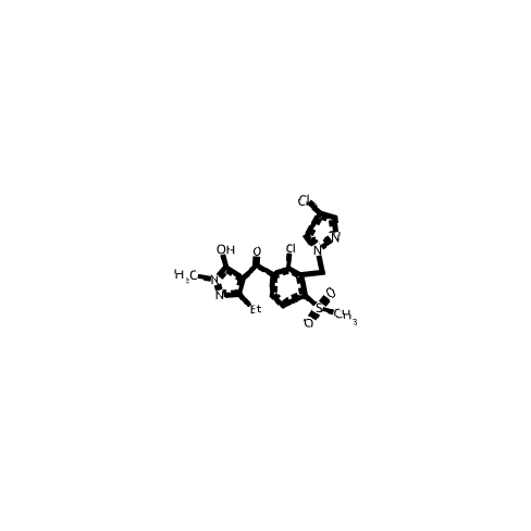 CCc1nn(C)c(O)c1C(=O)c1ccc(S(C)(=O)=O)c(Cn2cc(Cl)cn2)c1Cl